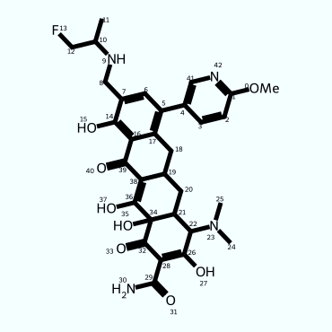 COc1ccc(-c2cc(CNC(C)CF)c(O)c3c2CC2CC4C(N(C)C)C(O)=C(C(N)=O)C(=O)C4(O)C(O)=C2C3=O)cn1